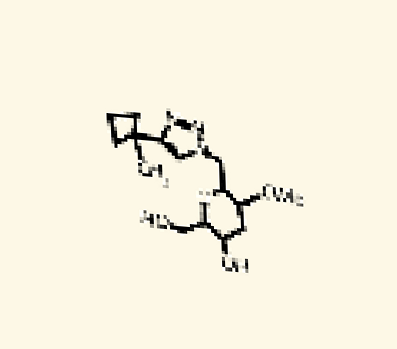 COC1CC(O)C(CO)OC1Cn1cc(C2(C)CCC2)nn1